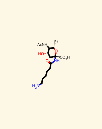 CC[C@@H]1O[C@@](NC(=O)CCCCCN)(C(=O)O)C[C@H](O)C1NC(C)=O